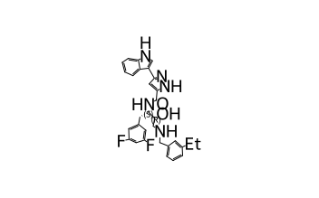 CCc1cccc(CNC[C@@H](O)[C@H](Cc2cc(F)cc(F)c2)NC(=O)c2cc(-c3c[nH]c4ccccc34)n[nH]2)c1